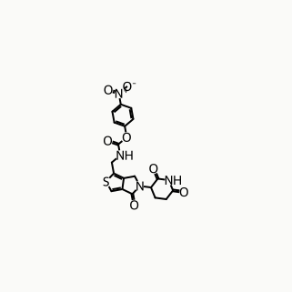 O=C1CCC(N2Cc3c(csc3CNC(=O)Oc3ccc([N+](=O)[O-])cc3)C2=O)C(=O)N1